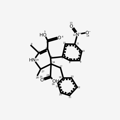 CC1=C(C(=O)O)C(c2cccc([N+](=O)[O-])c2)C(Cc2ccccc2)(C(=O)O)C(C)N1